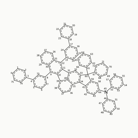 c1ccc(-c2cccc(-c3c4c(c(-c5cccc(-c6ccccc6)c5)c5ccccc35)-c3cc5c(c6cccc-4c36)-c3ccc(N(c4ccccc4)c4ccccc4)cc3C5(c3ccccc3)c3ccccc3)c2)cc1